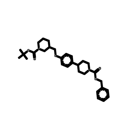 CC(C)(C)OC(=O)N1CCCC(COc2ccc(C3CCN(C(=O)OCc4ccccc4)CC3)cc2)C1